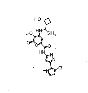 COc1c(NC([SiH3])[C@H]2CC[C@H]2O)cc(C(=O)Nc2nnc(-c3c(Cl)ccn3C)s2)oc1=O